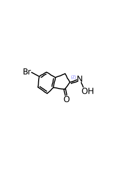 O=C1/C(=N\O)Cc2cc(Br)ccc21